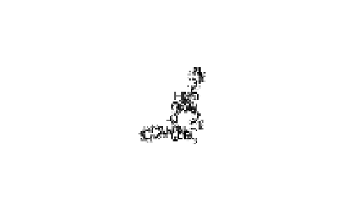 CN1C(=O)c2cccc(c2)OC[C@@H]2C[C@H](NC(=O)CCc3ccncc3)CN2C(=O)COC[C@H]1C(=O)NCc1ccc2ccccc2c1